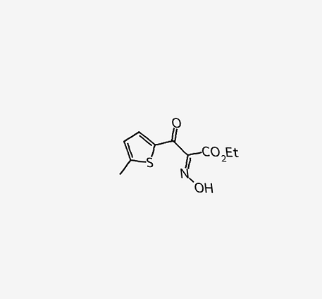 CCOC(=O)C(=NO)C(=O)c1ccc(C)s1